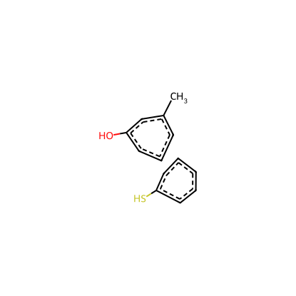 Cc1cccc(O)c1.Sc1ccccc1